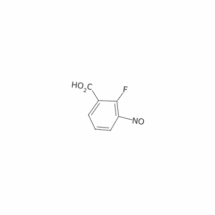 O=Nc1cccc(C(=O)O)c1F